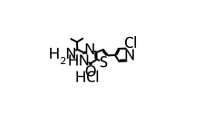 CC(C)C(N)c1nc2cc(-c3ccnc(Cl)c3)sc2c(=O)[nH]1.Cl